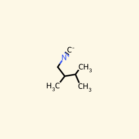 [C-]#[N+]CC(C)C(C)C